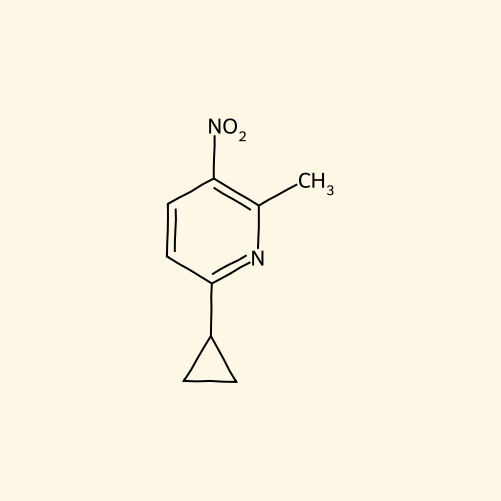 Cc1nc(C2CC2)ccc1[N+](=O)[O-]